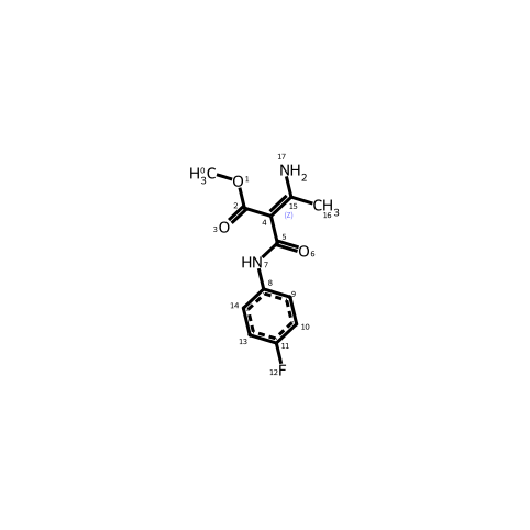 COC(=O)/C(C(=O)Nc1ccc(F)cc1)=C(/C)N